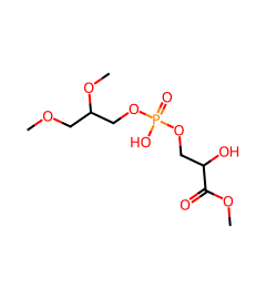 COCC(COP(=O)(O)OCC(O)C(=O)OC)OC